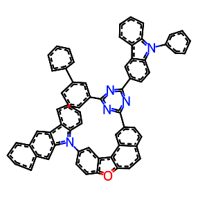 c1ccc(-c2cccc(-c3nc(-c4ccc5ccc6oc7ccc(-n8c9ccccc9c9cc%10ccccc%10cc98)cc7c6c5c4)nc(-c4ccc5c(c4)c4ccccc4n5-c4ccccc4)n3)c2)cc1